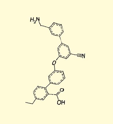 CCc1ccc(-c2cccc(Oc3cc(C#N)cc(-c4cccc(CN)c4)c3)c2)c(C(=O)O)c1